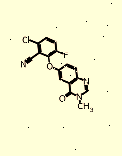 Cn1cnc2ccc(Oc3c(F)ccc(Cl)c3C#N)cc2c1=O